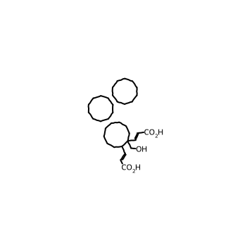 C1CCCCCCCCC1.C1CCCCCCCCC1.O=C(O)C=CC1CCCCCCCCC1(C=CC(=O)O)CO